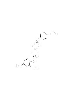 CC(C)(C)c1ccc(OP2OCC3(CO2)COP(Oc2ccc(C(C)(C)C)cc2C(C)(C)C)OC3)cc1